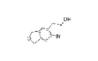 OCCc1cc2c(cc1Br)COC2